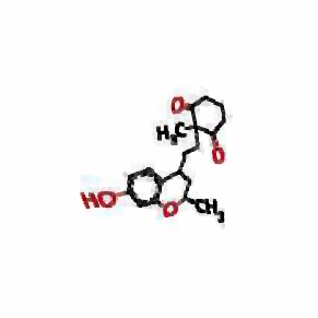 C[C@@H]1CC(CCC2(C)C(=O)CCCC2=O)c2ccc(O)cc2O1